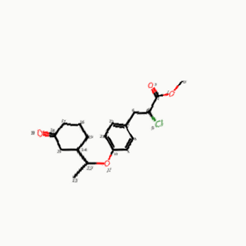 COC(=O)C(Cl)Cc1ccc(OC(C)C2CCCC(=O)C2)cc1